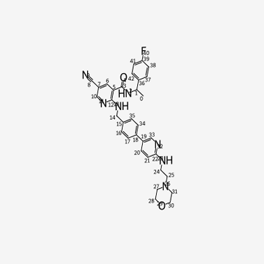 CC(NC(=O)c1cc(C#N)cnc1NCc1ccc(-c2ccc(NCCN3CCOCC3)nc2)cc1)c1ccc(F)cc1